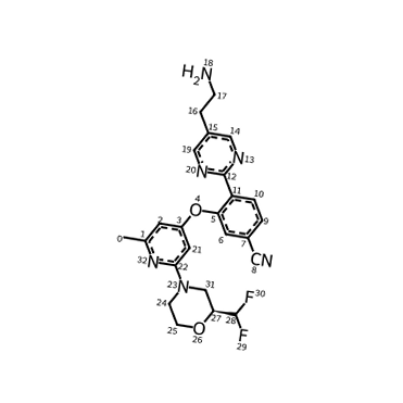 Cc1cc(Oc2cc(C#N)ccc2-c2ncc(CCN)cn2)cc(N2CCO[C@H](C(F)F)C2)n1